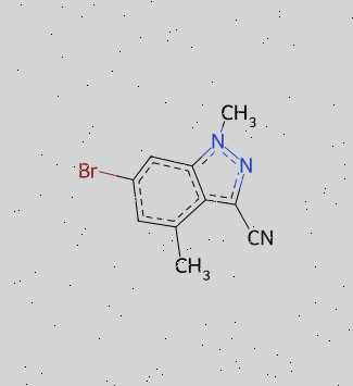 Cc1cc(Br)cc2c1c(C#N)nn2C